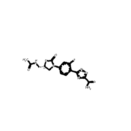 CC(=O)NC[C@H]1CN(c2ccc(-c3noc(C(N)=O)n3)c(F)c2)C(=O)O1